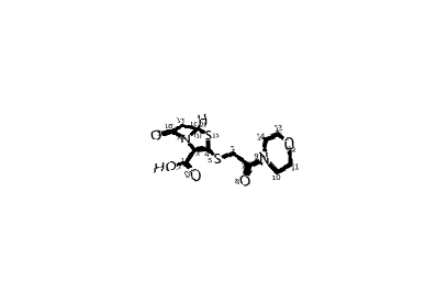 O=C(O)C1=C(SCC(=O)N2CCOCC2)S[C@H]2CC(=O)N12